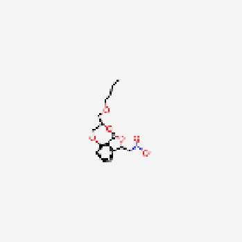 CCCCOCC1COc2cccc3c2B(O1)OC3C[N+](=O)[O-]